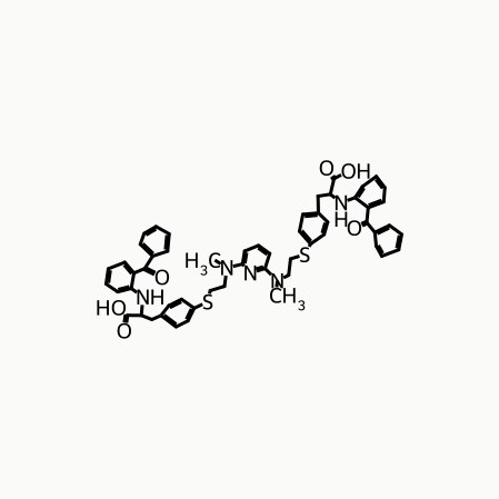 CN(CCSc1ccc(CC(Nc2ccccc2C(=O)c2ccccc2)C(=O)O)cc1)c1cccc(N(C)CCSc2ccc(CC(Nc3ccccc3C(=O)c3ccccc3)C(=O)O)cc2)n1